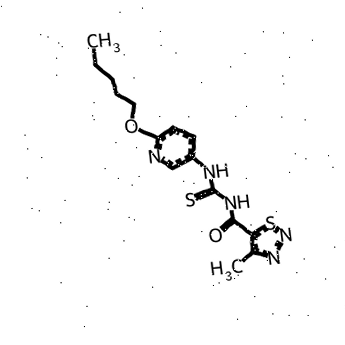 CCCCCOc1ccc(NC(=S)NC(=O)c2snnc2C)cn1